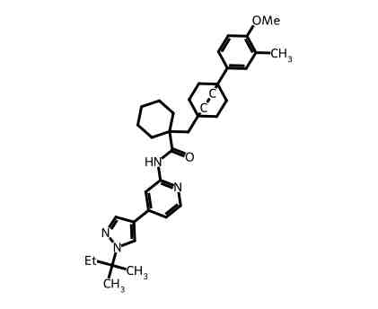 CCC(C)(C)n1cc(-c2ccnc(NC(=O)C3(CC45CCC(c6ccc(OC)c(C)c6)(CC4)CC5)CCCCC3)c2)cn1